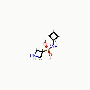 O=S(=O)(NC1CCC1)C1CNC1